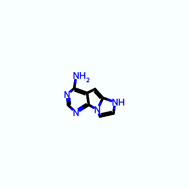 Nc1ncnc2c1cc1[nH]ccn12